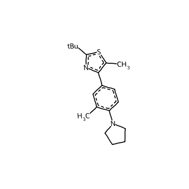 Cc1cc(-c2nc(C(C)(C)C)sc2C)ccc1N1CCCC1